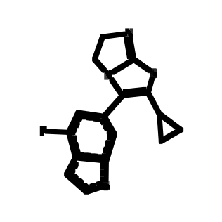 Fc1cc(C2=C(C3CC3)SC3=NCCN32)cc2sccc12